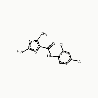 Cc1nc(N)sc1C(=O)Nc1ccc(Cl)cc1Cl